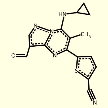 Cc1c(-c2ccc(C#N)s2)nc2c(C=O)cnn2c1NC1CC1